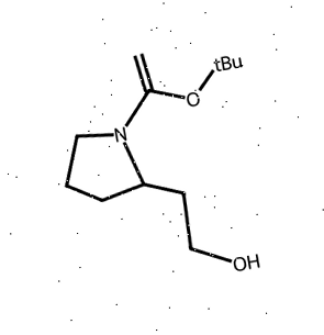 C=C(OC(C)(C)C)N1CCCC1CCO